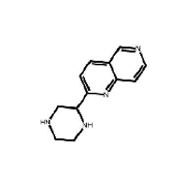 c1cc2nc(C3CNCCN3)ccc2cn1